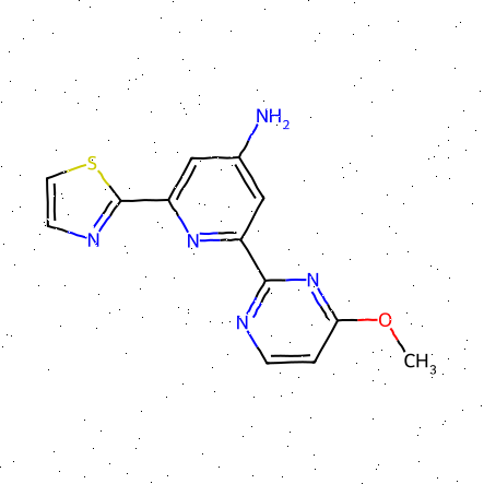 COc1ccnc(-c2cc(N)cc(-c3nccs3)n2)n1